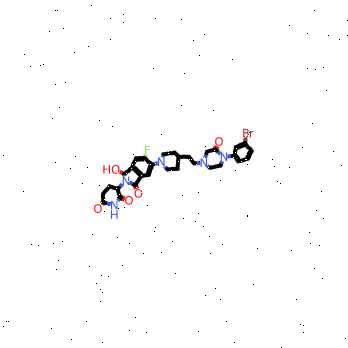 O=C1CCC(N2C(=O)c3cc(N4CCC(CCN5CCN(c6cccc(Br)c6)C(=O)C5)CC4)c(F)cc3C2O)C(=O)N1